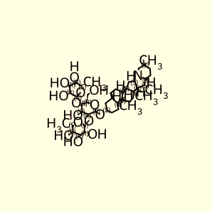 C[C@H]1CC[C@@H]2[C@@H](C)[C@H]3[C@H](C[C@H]4[C@@H]5CC=C6C[C@@H](O[C@@H]7O[C@H](CO)[C@@H](O[C@@H]8O[C@@H](C)[C@H](O)[C@@H](O)[C@H]8O)[C@H](O)[C@H]7O[C@@H]7O[C@@H](C)[C@H](O)[C@@H](O)[C@H]7O)CC[C@]6(C)[C@H]5CC[C@]34C)N2C1